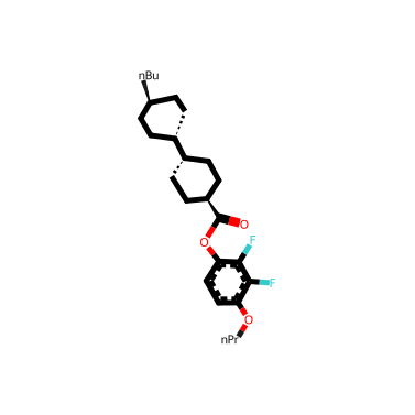 CCCC[C@H]1CC[C@H]([C@H]2CC[C@H](C(=O)Oc3ccc(OCCC)c(F)c3F)CC2)CC1